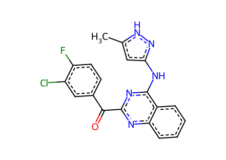 Cc1cc(Nc2nc(C(=O)c3ccc(F)c(Cl)c3)nc3ccccc23)n[nH]1